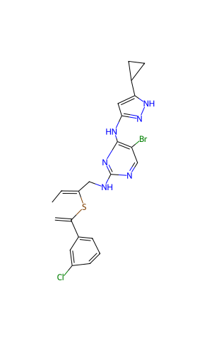 C=C(S/C(=C\C)CNc1ncc(Br)c(Nc2cc(C3CC3)[nH]n2)n1)c1cccc(Cl)c1